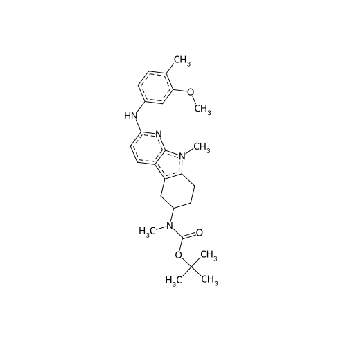 COc1cc(Nc2ccc3c4c(n(C)c3n2)CCC(N(C)C(=O)OC(C)(C)C)C4)ccc1C